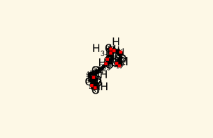 Cc1nc(Nc2ncc(C(=O)Nc3c(C)cccc3Cl)s2)cc(N2CCN(C(=O)CCCCCCC(=O)Nc3cccc4c3C(=O)N(C3CCC(=O)NC3=O)C4=O)CC2)n1